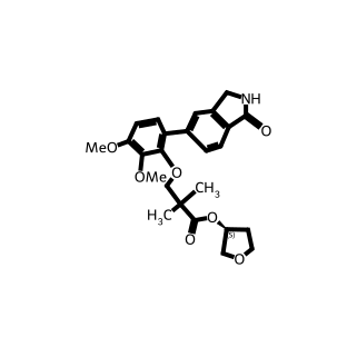 COc1ccc(-c2ccc3c(c2)CNC3=O)c(OCC(C)(C)C(=O)O[C@H]2CCOC2)c1OC